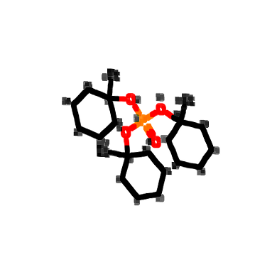 CCC1(OP(=O)(OC2(CC)CCCCC2)OC2(CC)CCCCC2)CCCCC1